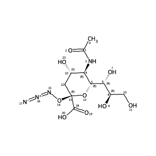 CC(=O)N[C@H]1[C@H]([C@H](O)[C@H](O)CO)O[C@](ON=[N+]=[N-])(C(=O)O)C[C@@H]1O